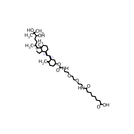 C=C1CC[C@H](OC(=O)NCCOCCOCCNC(=O)CCCCCCC(=O)O)C/C1=C/C=C1\CCC[C@@]2(C)C1CC[C@@H]2[C@H](C)CCC(O)C(C)(C)O